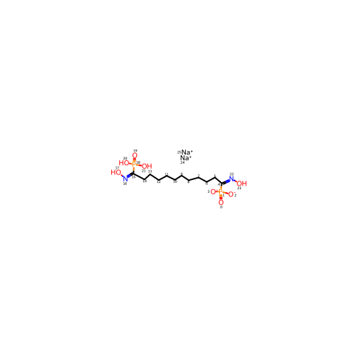 O=P([O-])([O-])C(CCCCCCCCCCC(=NO)P(=O)(O)O)=NO.[Na+].[Na+]